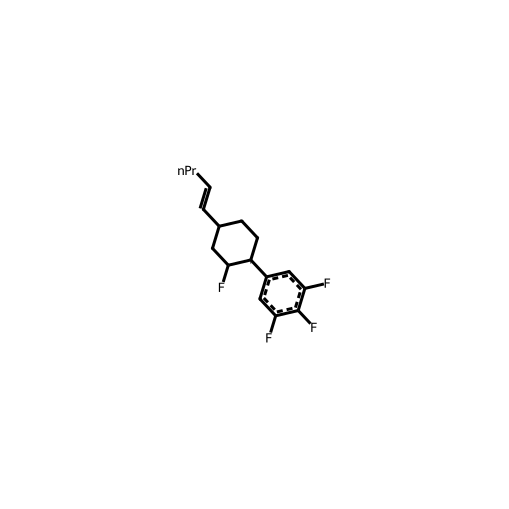 CCC/C=C/C1CC[C](c2cc(F)c(F)c(F)c2)C(F)C1